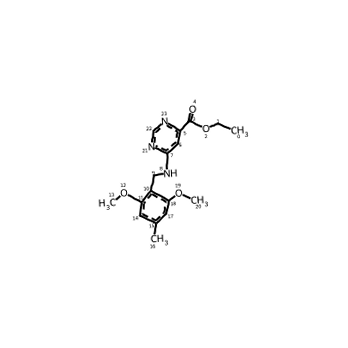 CCOC(=O)c1cc(NCc2c(OC)cc(C)cc2OC)ncn1